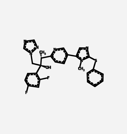 C[C@H](c1ccc(-c2cnc(Sc3ccccc3)n2C)cn1)[C@@](O)(Cn1cncn1)c1ccc(F)cc1F